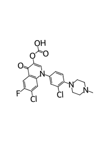 CN1CCN(c2ccc(-n3cc(OC(=O)O)c(=O)c4cc(F)c(Cl)cc43)cc2Cl)CC1